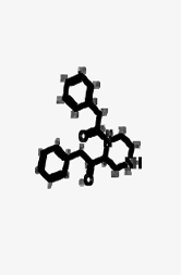 O=C(Cc1ccccc1)C1CNCCN1C(=O)Cc1ccccc1